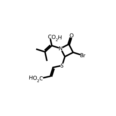 CC(C)=C(C(=O)O)N1C(=O)C(Br)C1S/C=C/C(=O)O